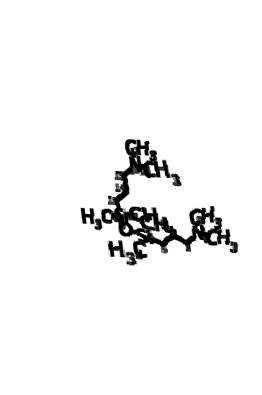 CN(C)CCC[Si](C)(C)O[Si](C)(C)CCCN(C)C